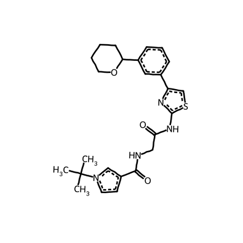 CC(C)(C)n1ccc(C(=O)NCC(=O)Nc2nc(-c3cccc(C4CCCCO4)c3)cs2)c1